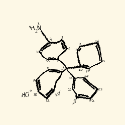 Cl.Nc1ccc(C(c2ccccc2)(c2ccccc2)c2ccccc2)cc1